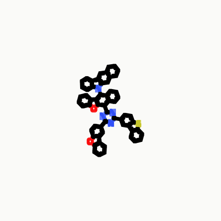 c1ccc2cc3c(cc2c1)c1ccccc1n3-c1c2ccccc2c(-c2nc(-c3ccc4oc5ccccc5c4c3)nc(-c3ccc4sc5ccccc5c4c3)n2)c2oc3ccccc3c12